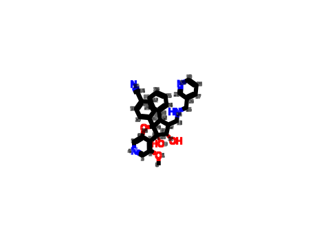 COc1cncc2c1[C@]1(O)[C@H](O)C(CNCc3cccnc3)C(c3ccccc3)C1(c1ccc(C#N)cc1)O2